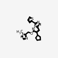 Cn1ncnc1COc1nn2c(-c3cccs3)nnc2cc1C1CCCC1